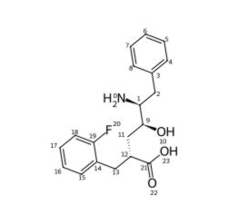 N[C@@H](Cc1ccccc1)[C@@H](O)C[C@@H](Cc1ccccc1F)C(=O)O